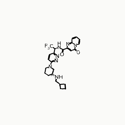 O=C(NC(c1ccc(N2CCC[C@@H](NCC3CCC3)C2)nn1)C(F)(F)F)c1cc(=O)n2ccccc2n1